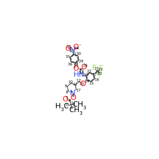 CC(C)(C)C(=O)ON1CCCC(COc2ccc(C(F)(F)F)cc2NC(=O)Oc2ccc([N+](=O)[O-])cc2)C1